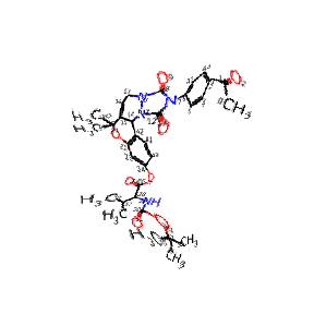 CC(=O)c1ccc(-n2c(=O)n3n(c2=O)C2C(=CC3)C(C)(C)Oc3cc(OC(=O)[C@@H](NC(=O)OC(C)(C)C)C(C)C)ccc32)cc1